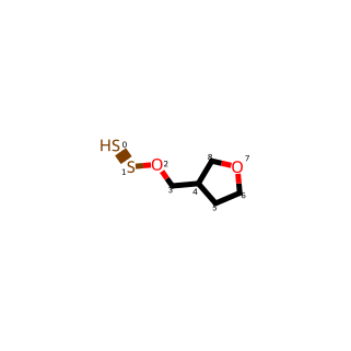 [SH]#SOCC1CCOC1